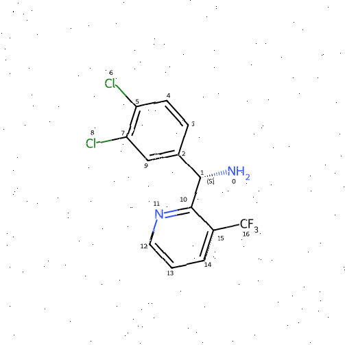 N[C@@H](c1ccc(Cl)c(Cl)c1)c1ncccc1C(F)(F)F